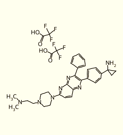 CN(C)CCN1CCN(c2ccc3nc(-c4ccc(C5(N)CC5)cc4)c(-c4ccccc4)nc3n2)CC1.O=C(O)C(F)(F)F.O=C(O)C(F)(F)F